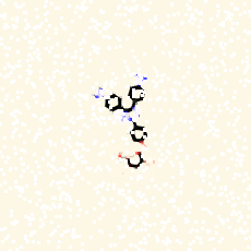 CN(C)c1ccc(-c2nc(-c3ccc(O[C@@H]4O[C@H](CO)[C@H](O)[C@H](O)[C@H]4O)cc3)[nH]c2-c2ccc(N(C)C)cc2)cc1